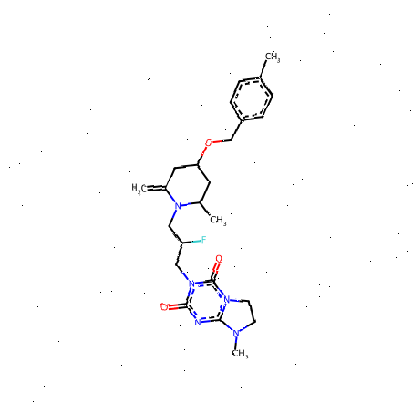 C=C1CC(OCc2ccc(C)cc2)CC(C)N1CC(F)Cn1c(=O)nc2n(c1=O)CCN2C